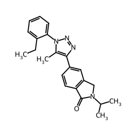 CCc1ccccc1-n1nnc(-c2ccc3c(c2)CN(C(C)C)C3=O)c1C